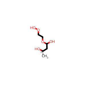 C[C@H](O)CC(O)OCCOO